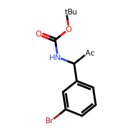 CC(=O)C(NC(=O)OC(C)(C)C)c1cccc(Br)c1